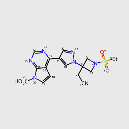 CCS(=O)(=O)N1CC(CC#N)(n2cc(-c3ncnc4c3ccn4C(=O)O)cn2)C1